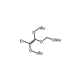 CCCCOC(CC)=C(OCCCC)OCOC